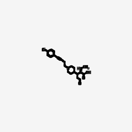 CNN(C(=O)O)C(CC=O)C1CCN(CCC#Cc2ccc(Cl)cc2)CC1